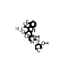 CC(C)c1c(C(=O)O)c(-c2ccnc(N[C@@H]3CCOC[C@H]3O)n2)nc2cccc(F)c12